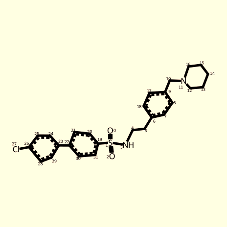 O=S(=O)(NCCc1ccc(CN2CCCCC2)cc1)c1ccc(-c2ccc(Cl)cc2)cc1